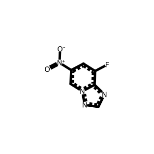 O=[N+]([O-])c1cc(F)c2ncnn2c1